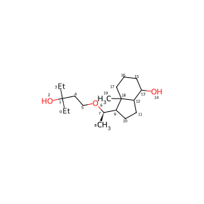 CCC(O)(CC)CCO[C@H](C)C1CCC2C(O)CCCC21C